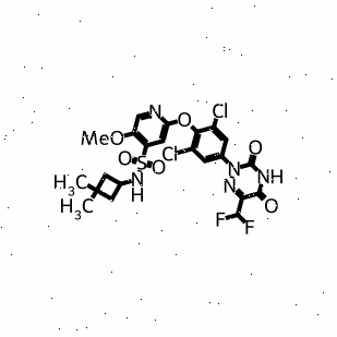 COc1cnc(Oc2c(Cl)cc(-n3nc(C(F)F)c(=O)[nH]c3=O)cc2Cl)cc1S(=O)(=O)NC1CC(C)(C)C1